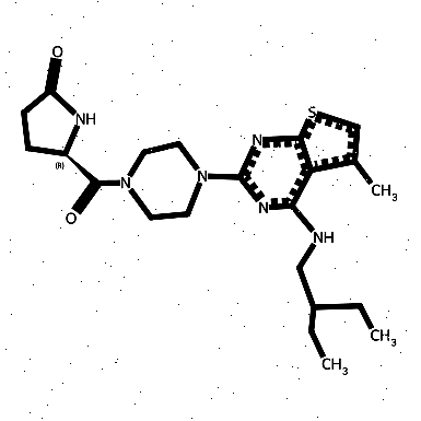 CCC(CC)CNc1nc(N2CCN(C(=O)[C@H]3CCC(=O)N3)CC2)nc2scc(C)c12